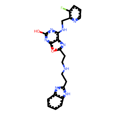 Oc1nc(NCc2ncccc2F)c2nc(CCNCCc3nc4ccccc4[nH]3)oc2n1